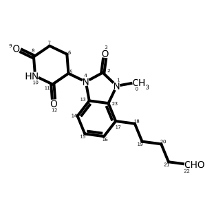 Cn1c(=O)n(C2CCC(=O)NC2=O)c2cccc(CCCCC=O)c21